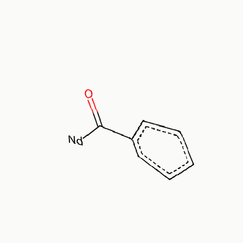 O=[C]([Nd])c1ccccc1